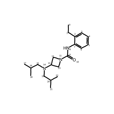 CCc1ccccc1NC(=O)N1CC(N(CC(C)C)CC(C)C)C1